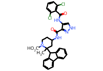 CC1(C2c3ccccc3-c3ccccc32)CC(NC(=O)c2n[nH]cc2NC(=O)c2c(Cl)cccc2Cl)CCN1C(=O)O